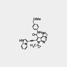 COCc1ccc(NC(=O)c2c(C#CC3=CNC4C=CC=CN34)n(C3(C)CC3)c3ncnc(N)c23)cc1